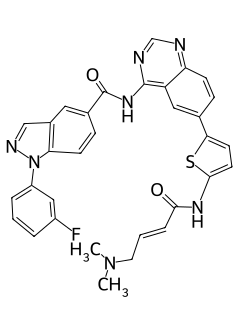 CN(C)CC=CC(=O)Nc1ccc(-c2ccc3ncnc(NC(=O)c4ccc5c(cnn5-c5cccc(F)c5)c4)c3c2)s1